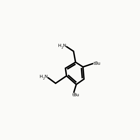 CC(C)(C)c1cc(C(C)(C)C)c(CN)cc1CN